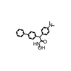 CN(C)c1ccc(C(C(=O)NO)c2ccc(-c3ccccc3)cc2)cc1